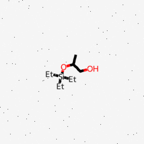 CC[Si](CC)(CC)OC(C)CO